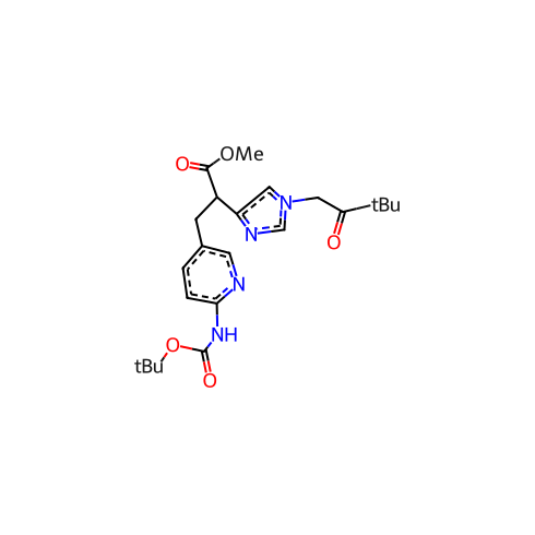 COC(=O)C(Cc1ccc(NC(=O)OC(C)(C)C)nc1)c1cn(CC(=O)C(C)(C)C)cn1